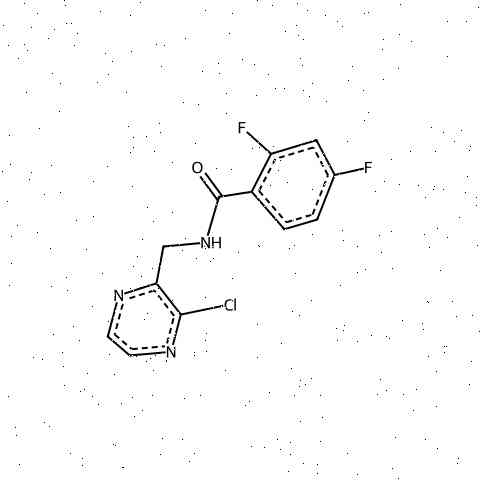 O=C(NCc1nccnc1Cl)c1ccc(F)cc1F